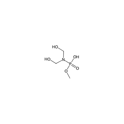 COP(=O)(O)N(CO)CO